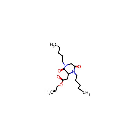 C=CCOC(=O)CC1C(=O)N(CCCCC)CC(=O)N1CCCCC